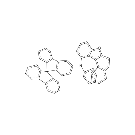 c1ccc(N(c2ccc3c(c2)-c2ccccc2C32c3ccccc3-c3ccccc32)c2cccc3oc4ccc5ccccc5c4c23)cc1